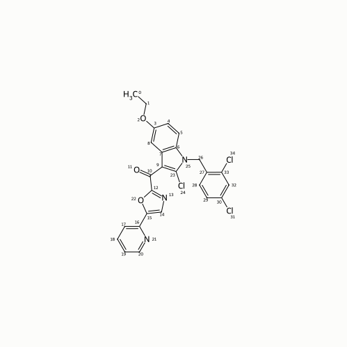 CCOc1ccc2c(c1)c(C(=O)c1ncc(-c3ccccn3)o1)c(Cl)n2Cc1ccc(Cl)cc1Cl